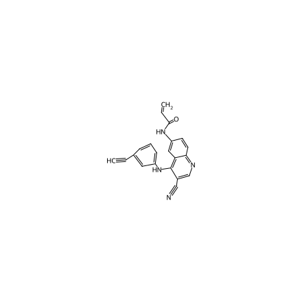 C#Cc1cccc(Nc2c(C#N)cnc3ccc(NC(=O)C=C)cc23)c1